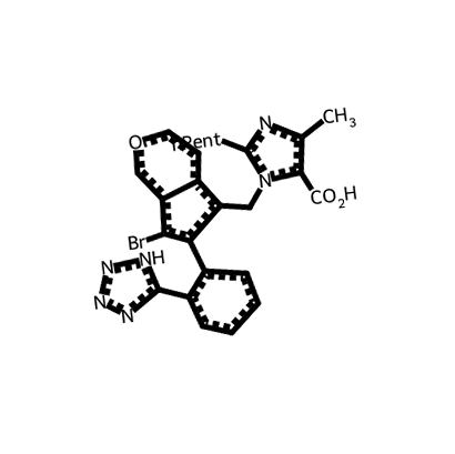 CCCCCc1nc(C)c(C(=O)O)n1Cc1c2ccocc-2c(Br)c1-c1ccccc1-c1nnn[nH]1